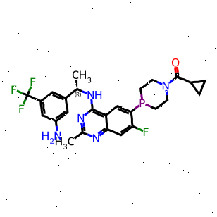 Cc1nc(N[C@H](C)c2cc(N)cc(C(F)(F)F)c2)c2cc(P3CCN(C(=O)C4CC4)CC3)c(F)cc2n1